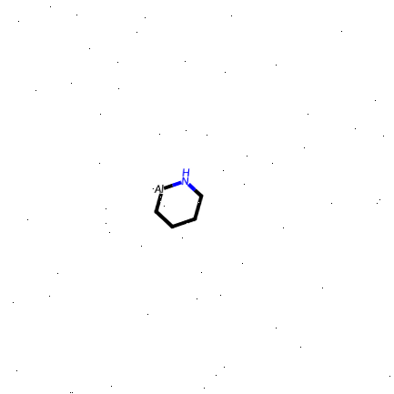 C1C[CH2][Al][NH]C1